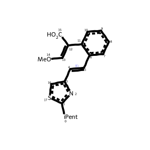 CCCC(C)c1nc(/C=C/c2ccccc2C(=COC)C(=O)O)cs1